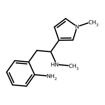 CNC(Cc1ccccc1N)c1ccn(C)c1